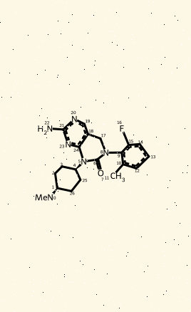 CN[C@H]1CC[C@@H](N2C(=O)N(c3c(C)cccc3F)Cc3cnc(N)nc32)CC1